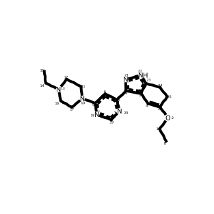 CCOC1=Cc2c(-c3cc(N4CCN(CC)CC4)ncn3)n[nH]c2CC1